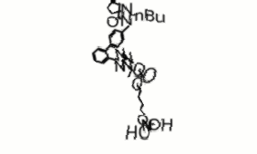 CCCCC1=NC2(CCCC2)C(=O)N1Cc1ccc(-c2ccccc2-c2nnn(C(C)OC(=O)OCCCCCON(O)O)n2)cc1